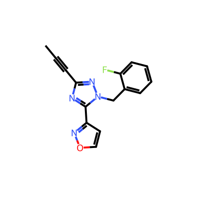 CC#Cc1nc(-c2ccon2)n(Cc2ccccc2F)n1